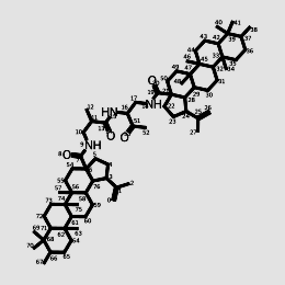 C=C(C)C1CCC2(C(=O)NCC(C)C(=O)NC(CNC(=O)C34CCC(C(=C)C)C3C3CCC5C6(C)CCC(C)C(C)(C)C6CCC5(C)C3(C)CC4)C(C)=O)CCC3(C)C(CCC4C5(C)CCC(C)C(C)(C)C5CCC43C)C12